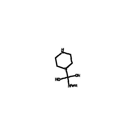 CCCCCC(O)(O)N1CCNCC1